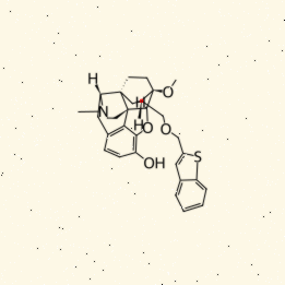 CO[C@]12CC[C@@]3(C[C@H]1COCc1cc4ccccc4s1)[C@H]1Cc4ccc(O)c5c4[C@@]3(CCN1C)[C@H]2O5